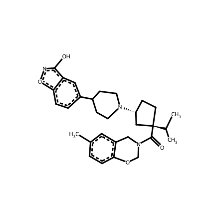 Cc1ccc2c(c1)CN(C(=O)[C@@]1(C(C)C)CC[C@@H](N3CCC(c4ccc5onc(O)c5c4)CC3)C1)CO2